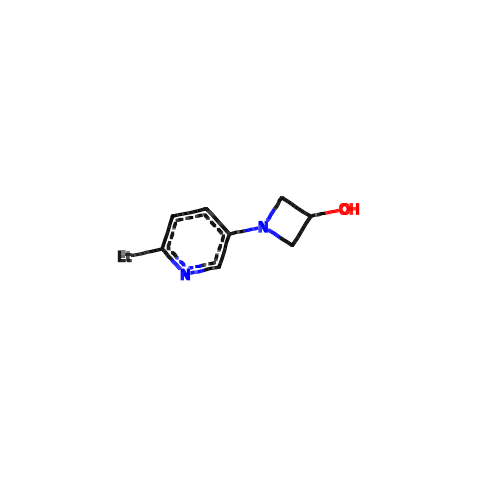 CCc1ccc(N2CC(O)C2)cn1